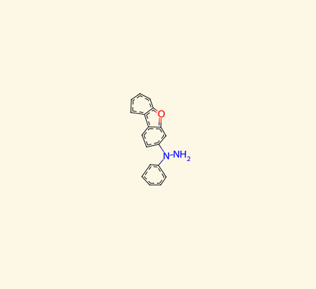 NN(c1ccccc1)c1ccc2c(c1)oc1ccccc12